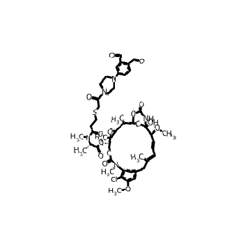 COc1cc2cc(c1Cl)N(C)C(=O)C[C@H](OC(=O)[C@H](C)N(C)C(=O)CCSCC(=O)N1CCN(c3ccc(C=O)c(C=O)c3)CC1)C1(C)OC1C(C)C1CC(O)(NC(=O)O1)C(OC)/C=C/C=C(\C)C2